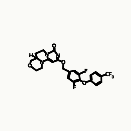 O=c1nc(OCc2cc(F)c(Oc3ccc(C(F)(F)F)cc3)c(F)c2)cc2n1CC[C@H]1COCCN21